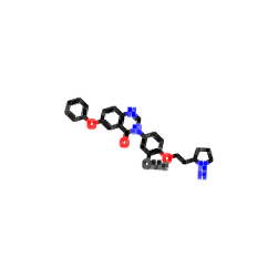 COc1cc(-n2cnc3ccc(Oc4ccccc4)cc3c2=O)ccc1OCCC1CCCN1